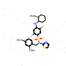 CN[C@H]1CCCCC1Nc1cc(F)c(S(=O)(=O)N(Cc2ccc(OC)cc2OC)c2nccs2)cc1Cl